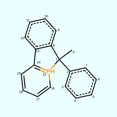 CC1(c2ccccc2)c2ccccc2C2=[PH]1C=CC=C2